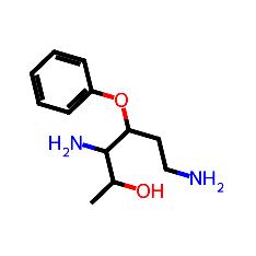 CC(O)C(N)C(CCN)Oc1ccccc1